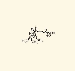 CCCN(CCC)CC(=O)NC(CCCCN)C(NCCCCCC(=O)NCC(=O)O)=C1CCC1